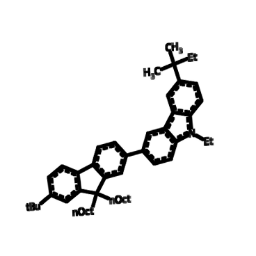 CCCCCCCCC1(CCCCCCCC)c2cc(-c3ccc4c(c3)c3cc(C(C)(C)CC)ccc3n4CC)ccc2-c2ccc(C(C)(C)C)cc21